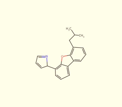 CC(C)Cc1cccc2c1oc1c(C3C=CC=N3)cccc12